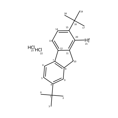 CC(C)(C)c1ccc2c(c1)Cc1c-2ccc(C(C)(C)C)[c]1[Hf].Cl.Cl